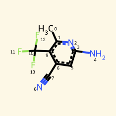 Cc1nc(N)cc(C#N)c1C(F)(F)F